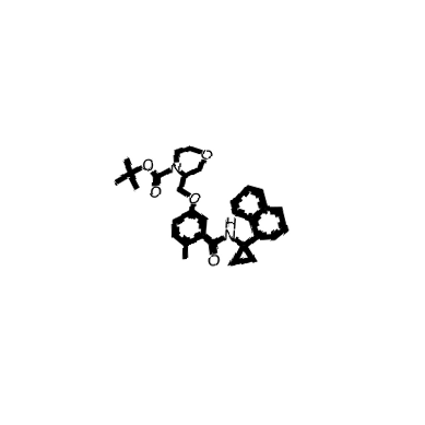 Cc1ccc(OCC2COCCN2C(=O)OC(C)(C)C)cc1C(=O)NC1(c2cccc3ccccc23)CC1